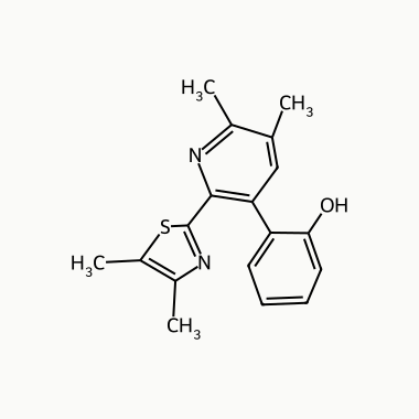 Cc1cc(-c2ccccc2O)c(-c2nc(C)c(C)s2)nc1C